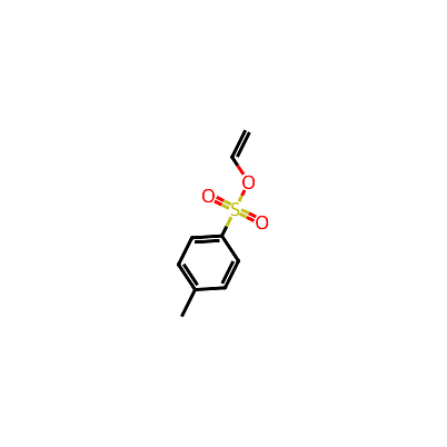 C=COS(=O)(=O)c1ccc(C)cc1